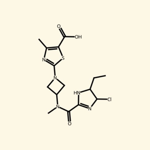 CCC1NC(C(=O)N(C)C2CN(c3nc(C)c(C(=O)O)s3)C2)=NC1Cl